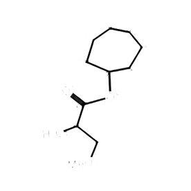 COCC(C)C(=O)OC1CCCCCC1